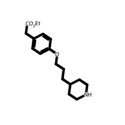 CCOC(=O)Cc1ccc(OCCCC2CCNCC2)cc1